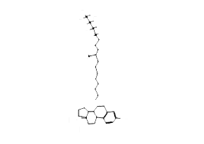 C[C@]12CCC3c4ccc(O)cc4C[C@@H](CCCCCCCCC(CCCC(F)(F)C(F)(F)C(F)(F)C(F)(F)F)C(=O)O)C3C1CC[C@@H]2O